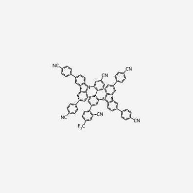 N#Cc1ccc(-c2ccc3c(c2)c2cc(-c4ccc(C#N)cc4)ccc2n3-c2cc(C#N)ccc2-c2ccc(-c3ccc(C(F)(F)F)cc3C#N)cc2-n2c3ccc(-c4ccc(C#N)cc4)cc3c3cc(-c4ccc(C#N)cc4)ccc32)cc1